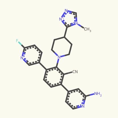 Cn1cnnc1C1CCN(c2c(-c3ccc(F)nc3)ccc(-c3ccnc(N)c3)c2C#N)CC1